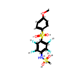 COc1ccc(S(=O)(=O)c2c(F)c(F)c(NS(C)(=O)=O)c(F)c2F)cc1